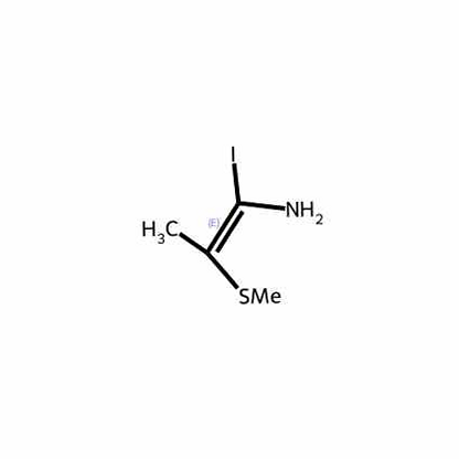 CS/C(C)=C(\N)I